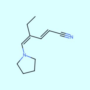 CCC(C=CC#N)=CN1CCCC1